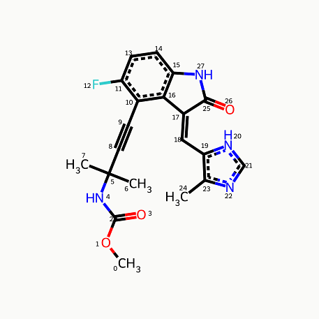 COC(=O)NC(C)(C)C#Cc1c(F)ccc2c1C(=Cc1[nH]cnc1C)C(=O)N2